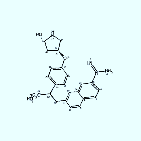 Cl.Cl.N=C(N)c1ccc2ccc(CC(C(=O)O)c3ccc(O[C@H]4CCNC4)cc3)cc2c1